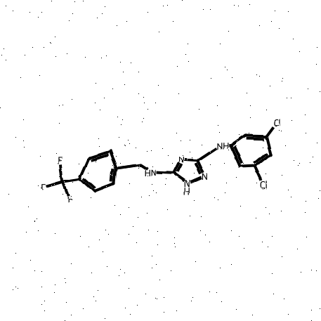 FC(F)(F)c1ccc(CNc2nc(Nc3cc(Cl)cc(Cl)c3)n[nH]2)cc1